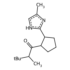 Cc1c[nH]c(C2CCCC2C(=O)C(C)C(C)(C)C)n1